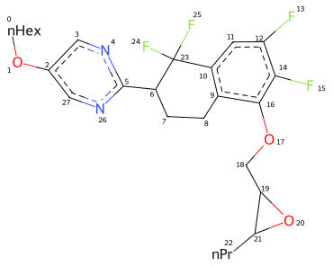 CCCCCCOc1cnc(C2CCc3c(cc(F)c(F)c3OCC3OC3CCC)C2(F)F)nc1